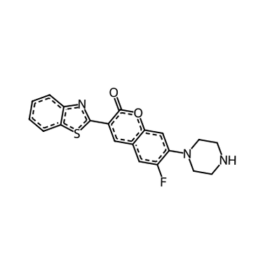 O=c1oc2cc(N3CCNCC3)c(F)cc2cc1-c1nc2ccccc2s1